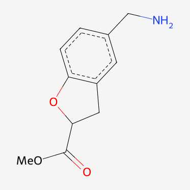 COC(=O)C1Cc2cc(CN)ccc2O1